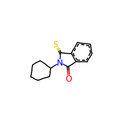 O=C1c2ccccc2C(=S)N1C1CCCCC1